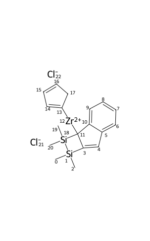 C[Si]1(C)C2=Cc3ccccc3[C]2([Zr+2][C]2=CC=CC2)[Si]1(C)C.[Cl-].[Cl-]